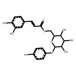 O=C(/C=C/c1ccc(O)c(O)c1)OCC1OC(Oc2ccc(O)cc2)C(O)C(O)C1O